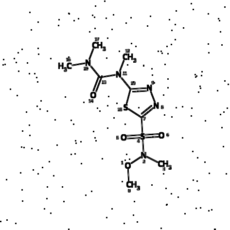 CON(C)S(=O)(=O)c1nnc(N(C)C(=O)N(C)C)s1